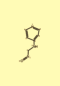 O=NCNc1ccncc1